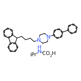 CC(C)NC(=O)O.c1ccc(-c2ccc(N3CCN(CCCCC4c5ccccc5-c5ccccc54)CC3)cc2)cc1